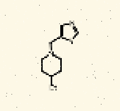 CCC1CCN(Cc2cncs2)CC1